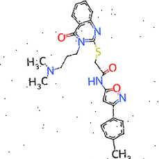 Cc1ccc(-c2cc(NC(=O)CSc3nc4ccccc4c(=O)n3CCCN(C)C)on2)cc1